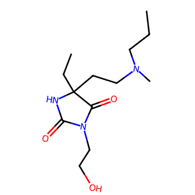 CCCN(C)CCC1(CC)NC(=O)N(CCO)C1=O